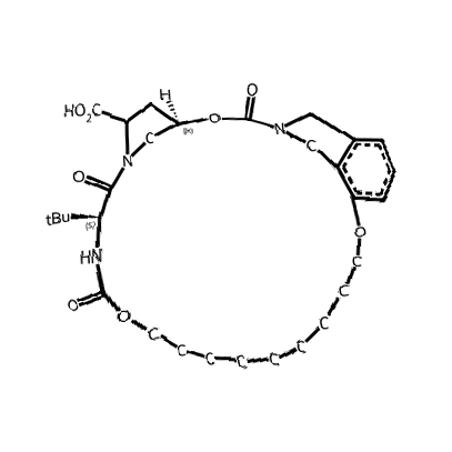 CC(C)(C)[C@@H]1NC(=O)OCCCCCCCCCOc2cccc3c2CN(C3)C(=O)O[C@@H]2CC(C(=O)O)N(C2)C1=O